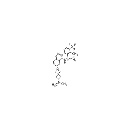 CC[C@@H](Nc1nncc2ccc(N3CC4(CC(N(C)C)C4)C3)cc12)c1cccc(C(F)(F)F)c1C